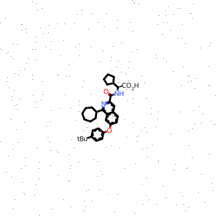 CC(C)(C)c1ccc(Oc2ccc3cc(C(=O)N[C@H](C(=O)O)C4CCCC4)nc(C4CCCCCC4)c3c2)cc1